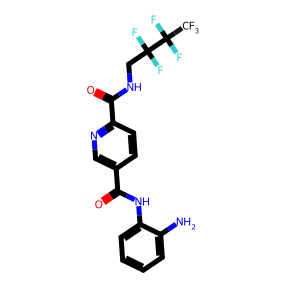 Nc1ccccc1NC(=O)c1ccc(C(=O)NCC(F)(F)C(F)(F)C(F)(F)F)nc1